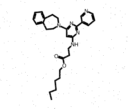 CCCCCCOC(=O)CCNc1cc(N2CCc3ccccc3CC2)nc(-c2cccnc2)n1